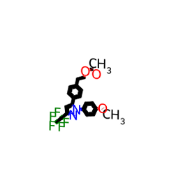 COc1ccc(-n2nc(C(F)(F)C(F)(F)F)cc2-c2ccc(CCOC(C)=O)cc2)cc1